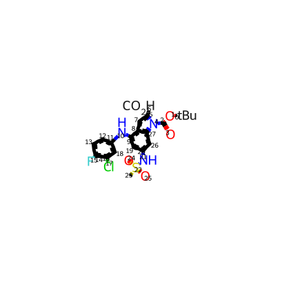 CC(C)(C)OC(=O)n1c(C(=O)O)cc2c(Nc3ccc(F)c(Cl)c3)cc(NS(C)(=O)=O)cc21